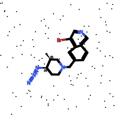 C[C@@H]1CN(Cc2ccc3cncc(Br)c3c2)CC[C@H]1N=[N+]=[N-]